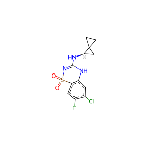 O=S1(=O)N=C(N[C@@H]2CC23CC3)Nc2cc(Cl)c(F)cc21